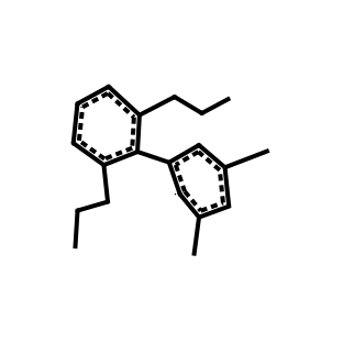 CCCc1cccc(CCC)c1-c1[c]c(C)cc(C)c1